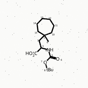 CC1(CC(NC(=O)OC(C)(C)C)C(=O)O)CCCCCC1